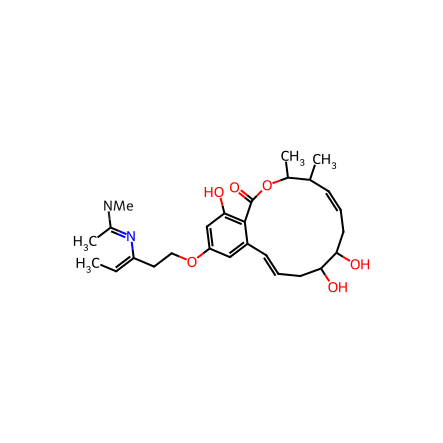 C/C=C(CCOc1cc(O)c2c(c1)/C=C/CC(O)C(O)C/C=C\C(C)C(C)OC2=O)\N=C(/C)NC